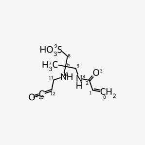 C=CC(=O)NCC(C)(CS(=O)(=O)O)NCC=C=O